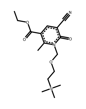 CCOC(=O)c1cc(C#N)c(=O)n(COCC[Si](C)(C)C)c1C